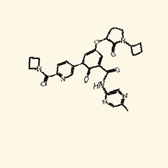 Cc1cnc(NC(=O)C2=CC(OC3CCN(C4CCC4)C3=O)=CC(c3ccc(C(=O)N4CCC4)nc3)C2=O)cn1